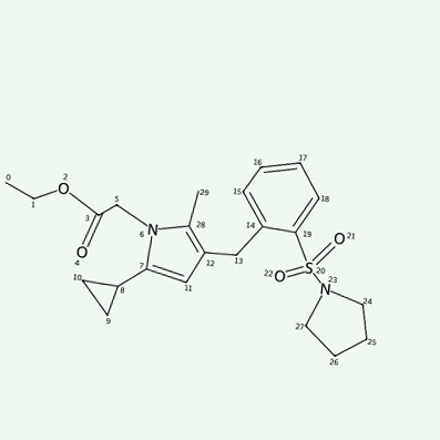 CCOC(=O)Cn1c(C2CC2)cc(Cc2ccccc2S(=O)(=O)N2CCCC2)c1C